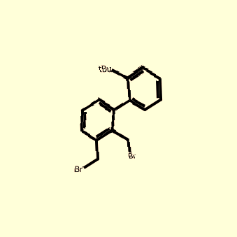 CC(C)(C)c1ccccc1-c1cccc(CBr)c1CBr